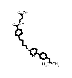 CC(C)Cc1ccc(-c2ccc(OCCCCc3ccc(C(=O)NCCC(=O)O)cc3)cn2)cc1